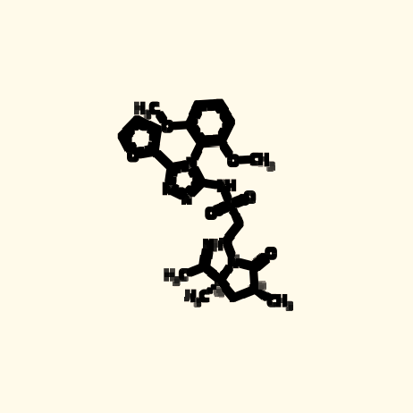 COc1cccc(OC)c1-n1c(NS(=O)(=O)CCN2C(=O)[C@@H](C)C[C@@]2(C)C(C)=N)nnc1-c1ccco1